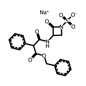 O=C(NC1CN(S(=O)(=O)[O-])C1=O)C(C(=O)OCc1ccccc1)c1ccccc1.[Na+]